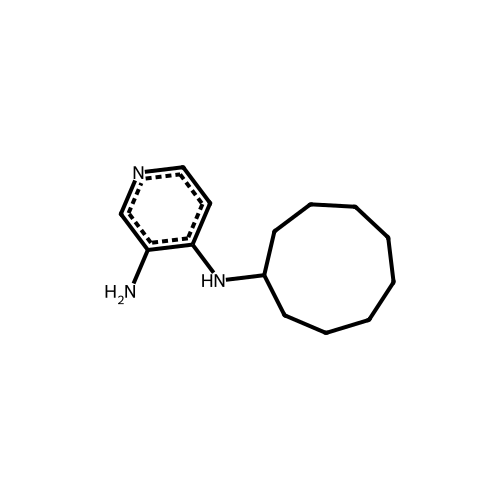 Nc1cnccc1NC1CCCCCCCC1